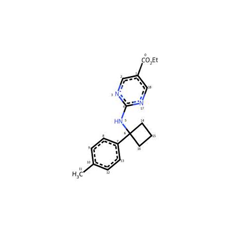 CCOC(=O)c1cnc(NC2(c3ccc(C)cc3)CCC2)nc1